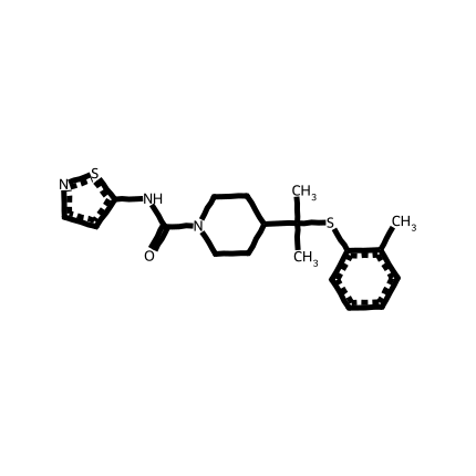 Cc1ccccc1SC(C)(C)C1CCN(C(=O)Nc2ccns2)CC1